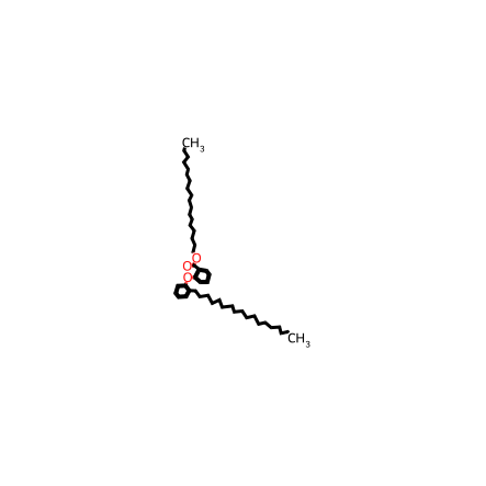 CCCCCCCCCCCCCCCCCCOC(=O)c1ccccc1Oc1ccccc1CCCCCCCCCCCCCCCCCC